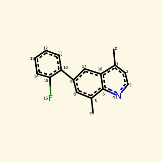 Cc1ccnc2c(C)cc(-c3[c]cccc3F)cc12